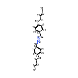 C/C=C/CCc1ccc(C=NN=Cc2ccc(CC/C=C/C)cc2)cc1